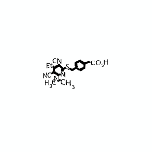 CCc1c(C#N)c(SCc2ccc(CC(=O)O)cc2)nc(N(C)C)c1C#N